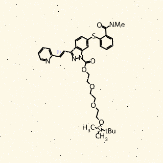 CNC(=O)c1ccccc1Sc1ccc2c(/C=C/c3ccccn3)nn(C(=O)OCCOCCOCCO[Si](C)(C)C(C)(C)C)c2c1